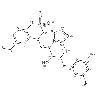 CCc1ccc2c(c1)C(NCC(O)C(Cc1cc(F)cc(F)c1)Nc1ncco1)CS(=O)(=O)C2